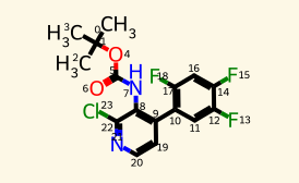 CC(C)(C)OC(=O)Nc1c(-c2cc(F)c(F)cc2F)ccnc1Cl